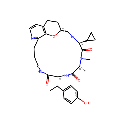 CC(c1ccc(O)cc1)[C@H]1NC(=O)[C@@H](C)N(C)C(=O)[C@H](C2CC2)NC[C@H]2CCc3ccnc(c3O2)CCCNC1=O